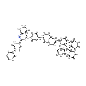 c1ccc(-c2ccc(-c3cc(-c4ccc(-c5ccc6cc(-c7ccc8c(c7)C7(c9ccccc9-c9ccccc97)c7ccccc7-8)ccc6c5)cc4)c4ccccc4n3)cc2)cc1